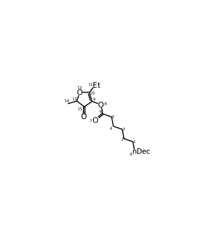 CCCCCCCCCCCCCCCC(=O)OC1=C(CC)OC(C)C1=O